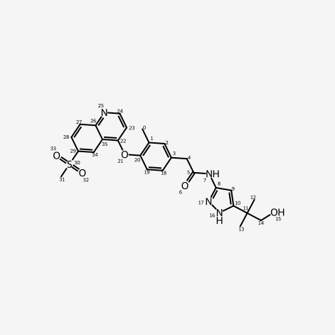 Cc1cc(CC(=O)Nc2cc(C(C)(C)CO)[nH]n2)ccc1Oc1ccnc2ccc(S(C)(=O)=O)cc12